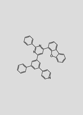 c1ccc(-c2cc(-c3ccncc3)cc(-c3cc(-c4cccc5c4oc4ccccc45)nc(-c4ccccc4)n3)c2)cc1